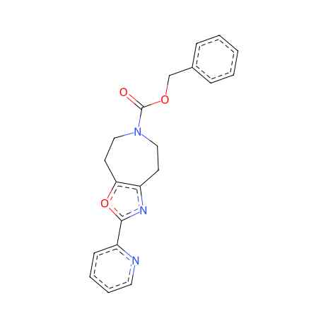 O=C(OCc1ccccc1)N1CCc2nc(-c3ccccn3)oc2CC1